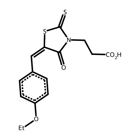 CCOc1ccc(/C=C2/SC(=S)N(CCC(=O)O)C2=O)cc1